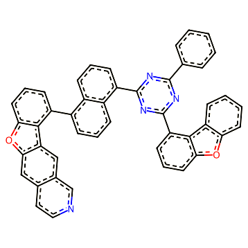 c1ccc(-c2nc(-c3cccc4c(-c5cccc6oc7cc8ccncc8cc7c56)cccc34)nc(-c3cccc4oc5ccccc5c34)n2)cc1